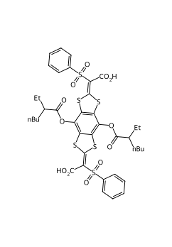 CCCCC(CC)C(=O)Oc1c2c(c(OC(=O)C(CC)CCCC)c3c1SC(=C(C(=O)O)S(=O)(=O)c1ccccc1)S3)SC(=C(C(=O)O)S(=O)(=O)c1ccccc1)S2